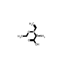 C=CN(OCC)[C@@H](N)C(=O)O